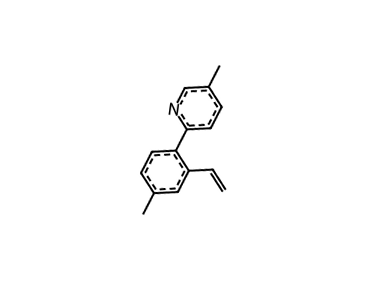 C=Cc1cc(C)ccc1-c1ccc(C)cn1